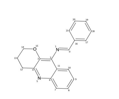 C(=Nc1c2c(nc3ccccc13)CCCO2)c1ccccc1